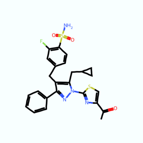 CC(=O)c1csc(-n2nc(-c3ccccc3)c(Cc3ccc(S(N)(=O)=O)c(F)c3)c2CC2CC2)n1